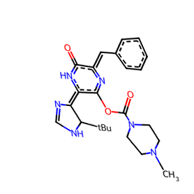 CN1CCN(C(=O)Oc2n/c(=C\c3ccccc3)c(=O)[nH]/c2=C2\N=CNC2C(C)(C)C)CC1